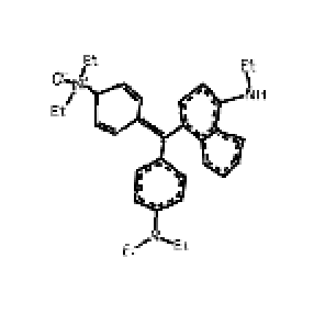 CCNc1ccc(C(=C2C=CC([N+]([O-])(CC)CC)C=C2)c2ccc(N(CC)CC)cc2)c2ccccc12